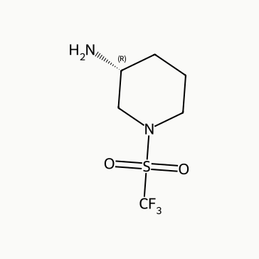 N[C@@H]1CCCN(S(=O)(=O)C(F)(F)F)C1